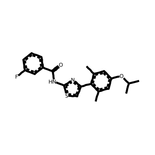 Cc1cc(OC(C)C)cc(C)c1-c1csc(NC(=O)c2cccc(F)c2)n1